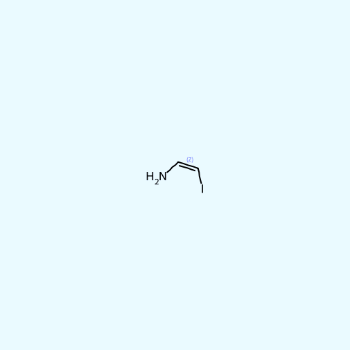 N/C=C\I